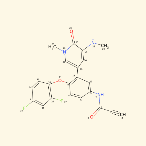 C#CC(=O)Nc1ccc(Oc2ccc(F)cc2F)c(-c2cc(NC)c(=O)n(C)c2)c1